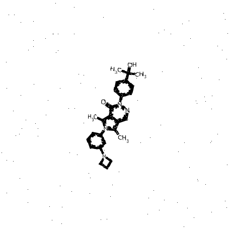 Cc1c2cnn(-c3ccc(C(C)(C)O)cc3)c(=O)c2c(C)n1-c1cccc(N2CCC2)c1